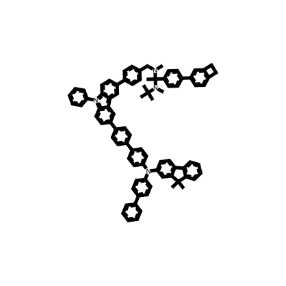 CN(Cc1ccc(-c2ccc3c(c2)c2cc(-c4ccc(-c5ccc(N(c6ccc(-c7ccccc7)cc6)c6ccc7c(c6)C(C)(C)c6ccccc6-7)cc5)cc4)ccc2n3-c2ccccc2)cc1)C(C)(c1ccc(-c2ccc3c(c2)CC3)cc1)N(C)C(C)(C)C